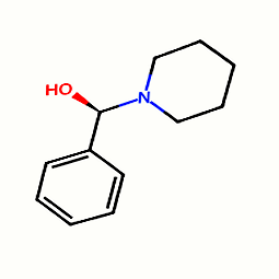 O[C@H](c1ccccc1)N1CCCCC1